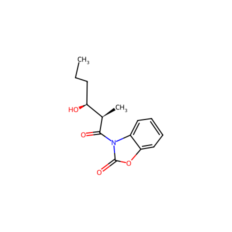 CCC[C@H](O)[C@@H](C)C(=O)n1c(=O)oc2ccccc21